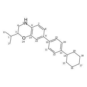 CC(C)C1CNc2ccc(-c3ccc(C4CCCCC4)cc3)cc2O1